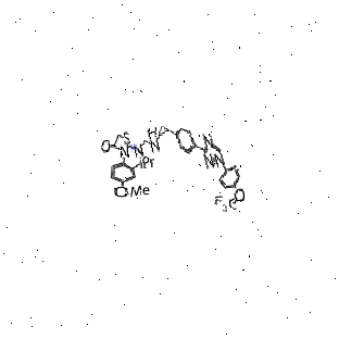 COc1ccc(N2C(=O)CS/C2=N\CNC2CC2c2ccc(-c3ncn(-c4ccc(OC(F)(F)F)cc4)n3)cc2)c(C(C)C)c1